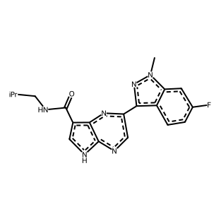 CC(C)CNC(=O)c1c[nH]c2ncc(-c3nn(C)c4cc(F)ccc34)nc12